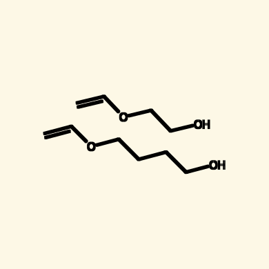 C=COCCCCO.C=COCCO